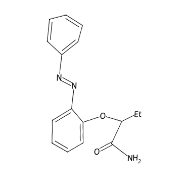 CCC(Oc1ccccc1N=Nc1ccccc1)C(N)=O